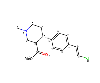 COC(=O)C1CN(C)CC[C@@H]1c1ccc(C=CCl)cc1